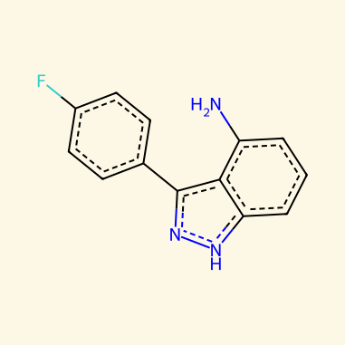 Nc1cccc2[nH]nc(-c3ccc(F)cc3)c12